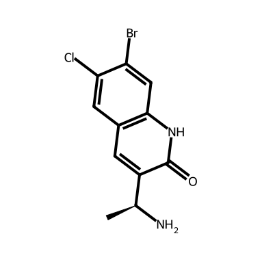 C[C@H](N)c1cc2cc(Cl)c(Br)cc2[nH]c1=O